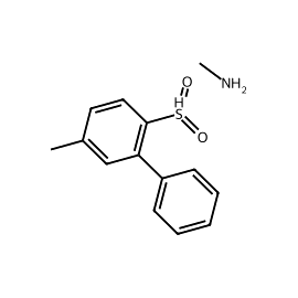 CN.Cc1ccc([SH](=O)=O)c(-c2ccccc2)c1